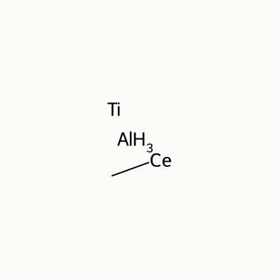 [AlH3].[CH3][Ce].[Ti]